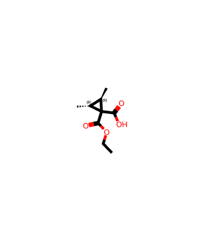 CCOC(=O)C1(C(=O)O)[C@H](C)[C@H]1C